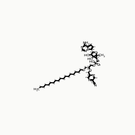 CCCCCCCCCCCCCCCCCCOC[C@@H](COP(=O)(O)OC1[C@@]2(C)O[C@@H](c3ccc4c(N)ncnn34)[C@H](O)[C@@]12O)OCc1cnc(C#N)cn1